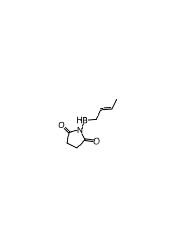 CC=CCBN1C(=O)CCC1=O